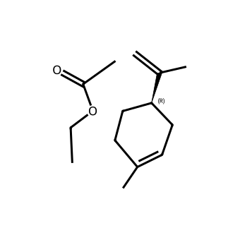 C=C(C)[C@H]1CC=C(C)CC1.CCOC(C)=O